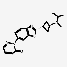 CC(C)N(C)[C@H]1C[C@H](c2nc3ccc(-n4ncccc4=O)cc3s2)C1